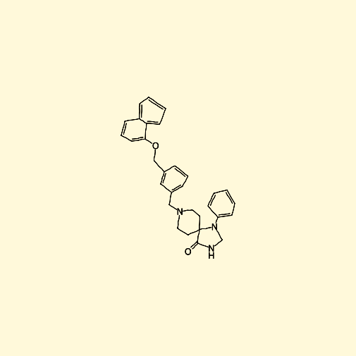 O=C1NCN(c2ccccc2)C12CCN(Cc1cccc(COc3cccc4ccccc34)c1)CC2